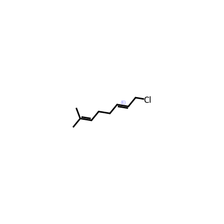 CC(C)=CCC/C=C/CCl